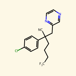 N#CC(CCCC(F)(F)F)(Cc1cnccn1)c1ccc(Cl)cc1